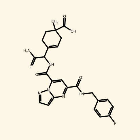 CC1(C(=O)O)CC=C(C(NC(=O)c2cc(C(=O)NCc3ccc(F)cc3)nc3ccnn23)C(N)=O)CC1